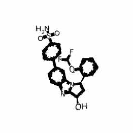 NS(=O)(=O)c1ccc(-c2ccc3nc4n(c3c2)[C@@H](c2ccccc2OC(F)F)C[C@H]4O)cc1